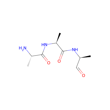 C[C@H](N)C(=O)N[C@@H](C)C(=O)N[C@@H](C)C=O